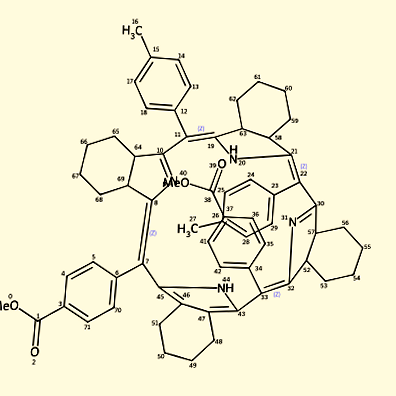 COC(=O)c1ccc(/C2=C3N=C(/C(c4ccc(C)cc4)=C4\N/C(=C(/c5ccc(C)cc5)C5=N/C(=C(/c6ccc(C(=O)OC)cc6)c6[nH]c2c2c6CCCC2)C2CCCCC52)C2CCCCC42)C2CCCCC/32)cc1